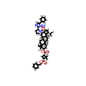 CC(C)[C@@H]1CC[C@]2(C(=O)N3CCC[C@H]3c3ncc(-c4ccccc4)[nH]3)CC[C@]3(C)[C@H](CC[C@@H]4[C@@]5(C)CC[C@H](OC(=O)[C@H]6C[C@@H](C(=O)OCc7ccccc7)C6(C)C)C(C)(C)[C@@H]5CC[C@]43C)[C@@H]12